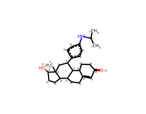 CC(C)Nc1ccc(C2CC3(C)C(O)CCC3C3CCC4=CC(=O)CCC4C23)cc1